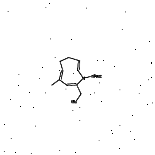 CCCCCN1/C=C/CC/C=C(C)/C=C\1CC(C)(C)C